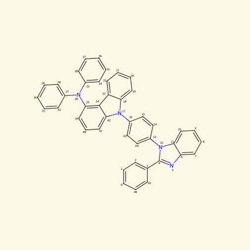 c1ccc(-c2nc3ccccc3n2-c2ccc(-n3c4ccccc4c4c(N(c5ccccc5)c5ccccc5)cccc43)cc2)cc1